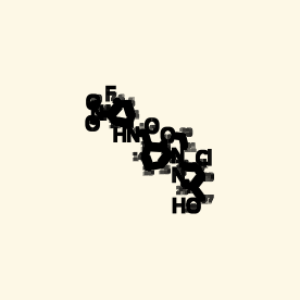 O=C(Nc1ccc(F)c([N+](=O)[O-])c1)c1cccc2c1OCCN2c1ncc(CO)cc1Cl